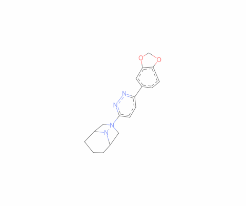 CN1C2CCCC1CN(c1ccc(-c3ccc4c(c3)OCO4)nn1)C2